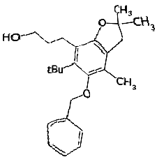 Cc1c2c(c(CCCO)c(C(C)(C)C)c1OCc1ccccc1)OC(C)(C)C2